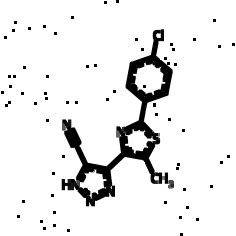 Cc1sc(-c2ccc(Cl)cc2)nc1-c1nn[nH]c1C#N